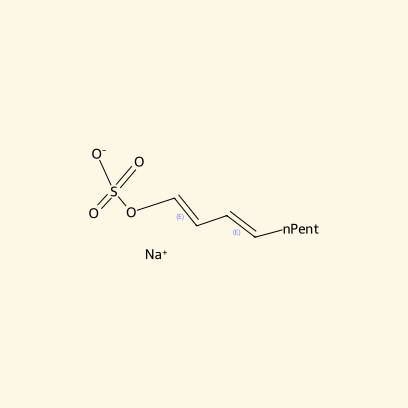 CCCCC/C=C/C=C/OS(=O)(=O)[O-].[Na+]